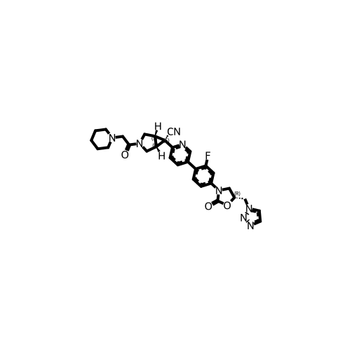 N#C[C@]1(c2ccc(-c3ccc(N4C[C@H](Cn5ccnn5)OC4=O)cc3F)cn2)[C@@H]2CN(C(=O)CN3CCCCC3)C[C@@H]21